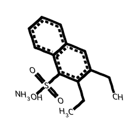 CCc1cc2ccccc2c(S(=O)(=O)O)c1CC.N